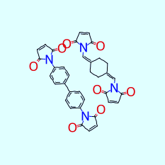 O=C1C=CC(=O)N1C=C1CCC(=CN2C(=O)C=CC2=O)CC1.O=C1C=CC(=O)N1c1ccc(-c2ccc(N3C(=O)C=CC3=O)cc2)cc1